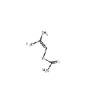 CC(C)=COC(N)=O